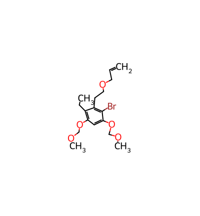 C=CCOCCc1c(Br)c(OCOC)cc(OCOC)c1CC